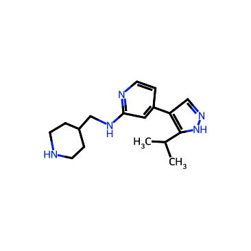 CC(C)c1[nH]ncc1-c1ccnc(NCC2CCNCC2)c1